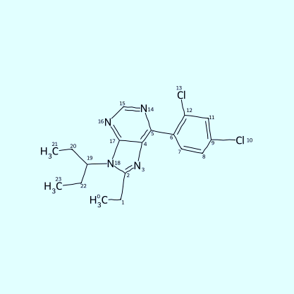 CCc1nc2c(-c3ccc(Cl)cc3Cl)ncnc2n1C(CC)CC